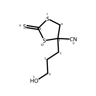 N#CC1(CCCO)CSC(=S)S1